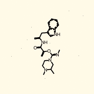 C=C(Cc1c[nH]c2ccccc12)NC(=O)C(=C)O/C(=N\C)N1CCN(C)C(C)C1